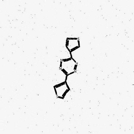 c1cc(-c2nnc(-c3ccsc3)nn2)cs1